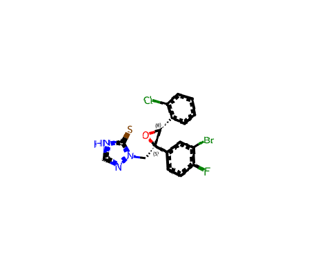 Fc1ccc([C@@]2(Cn3nc[nH]c3=S)O[C@@H]2c2ccccc2Cl)cc1Br